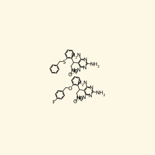 Nc1nc(N)c(C(C[N+](=O)[O-])c2ccccc2OCc2ccc(F)cc2)c(N)n1.Nc1nc(N)c(C(C[N+](=O)[O-])c2ccccc2SCc2ccccc2)c(N)n1